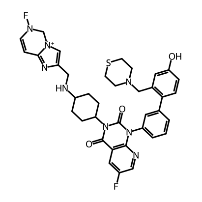 O=c1c2cc(F)cnc2n(-c2cccc(-c3ccc(O)cc3CN3CCSCC3)c2)c(=O)n1C1CCC(NCC2=C[N+]3CN(F)C=CC3=N2)CC1